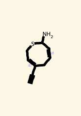 C#C/C1=C/CSC(N)/C=C\C1